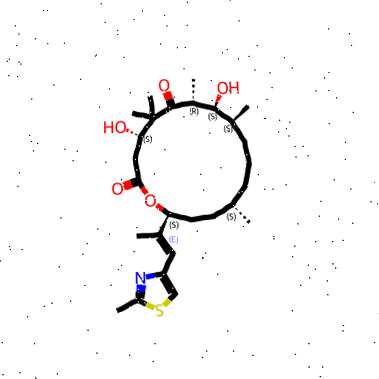 C/C(=C\c1csc(C)n1)[C@@H]1CC[C@@H](C)CCC[C@H](C)[C@H](O)[C@@H](C)C(=O)C(C)(C)[C@@H](O)CC(=O)O1